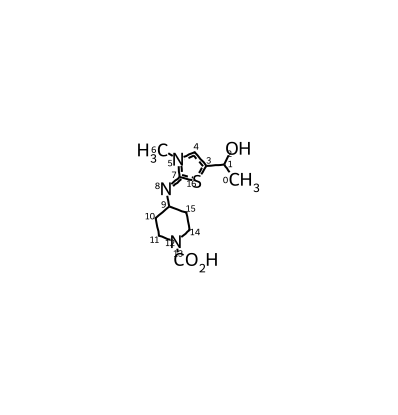 CC(O)c1cn(C)c(=NC2CCN(C(=O)O)CC2)s1